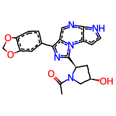 CC(=O)N1C[C@H](O)C[C@@H]1c1nc(-c2ccc3c(c2)OCO3)c2cnc3[nH]ccc3n12